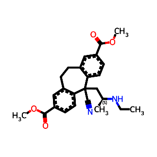 CCN[C@@H](C)CC1(C#N)c2ccc(C(=O)OC)cc2CCc2cc(C(=O)OC)ccc21